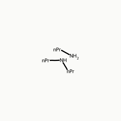 CCCN.CCCNCCC